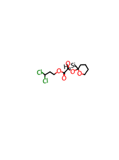 O=C(OCCC(Cl)Cl)C(=O)OC1([SiH3])CCCCO1